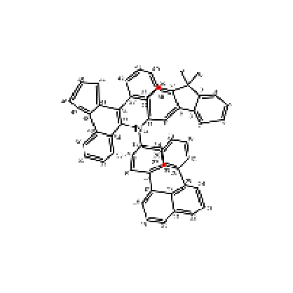 CC1(C)c2ccccc2-c2cc(N(c3ccc(-c4cccc5cccc(-c6ccccc6)c45)cc3)c3c(-c4ccccc4)c4ccccc4c4ccccc34)ccc21